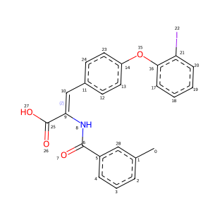 Cc1cccc(C(=O)N/C(=C\c2ccc(Oc3ccccc3I)cc2)C(=O)O)c1